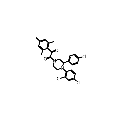 Cc1cc(C)c(C(=O)C(=O)N2CCN(c3ccc(Cl)cc3Cl)C(c3ccc(Cl)cc3)C2)c(C)c1